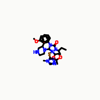 CCC(C)N1C(=O)N(c2ccccc2)C(N2CCNCC2c2ccccc2OC)[N+]1(Sc1nncn1C)C1COC(C)O1